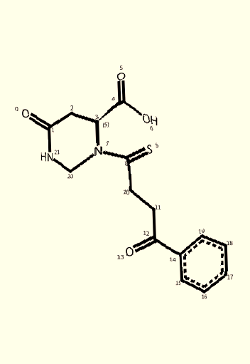 O=C1C[C@@H](C(=O)O)N(C(=S)CCC(=O)c2ccccc2)CN1